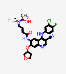 C[C@H](O)N(C)C/C=C/C(=O)Nc1cc2c(Nc3ccc(F)c(Cl)c3)c(C#N)cnc2cc1OC1CCOC1